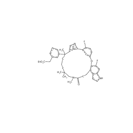 CCOC(=O)Cc1cccc(C2(C)CCCC(C)(C)CN(C)C(=O)CCc3c(c(F)cc4[nH]ccc34)Oc3ccc(F)c(c3)-c3ncc2[nH]3)c1